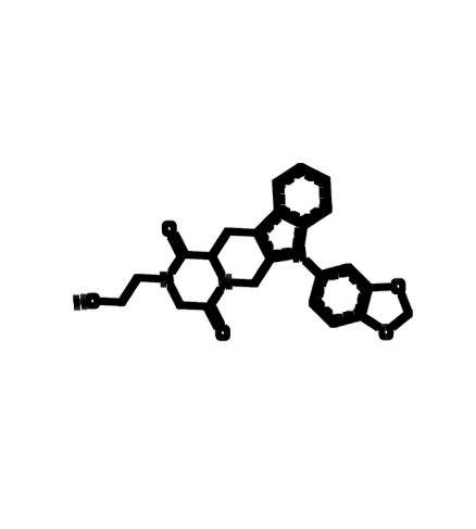 O=C1C2Cc3c(n(-c4ccc5c(c4)OCO5)c4ccccc34)CN2C(=O)CN1CCO